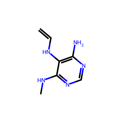 C=CNc1c(N)ncnc1NC